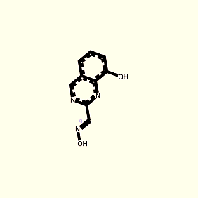 O/N=C/c1ncc2cccc(O)c2n1